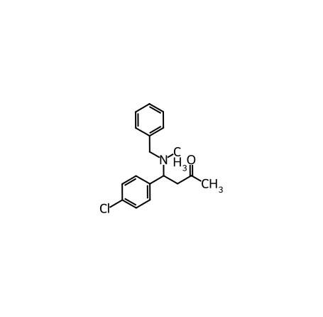 CC(=O)CC(c1ccc(Cl)cc1)N(C)Cc1ccccc1